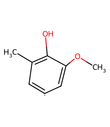 COc1c[c]cc(C)c1O